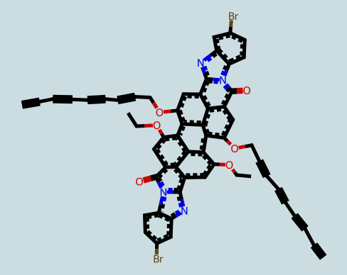 C#CC#CC#CC#CCOc1cc2c(=O)n3c4ccc(Br)cc4nc3c3cc(OCC#CC#CC#CC#C)c4c5c(OCC)cc6c(=O)n7c8ccc(Br)cc8nc7c7cc(OCC)c(c1c4c23)c5c67